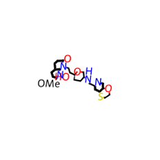 COc1ccc2ccc(=O)n(C[C@H](O)[C@@H]3CCC(NCc4cc5c(cn4)OCCS5)CO3)c2n1